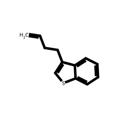 C=CCCc1csc2ccccc12